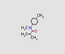 C=C(C)C(=O)N(C)c1ccc(C)cc1